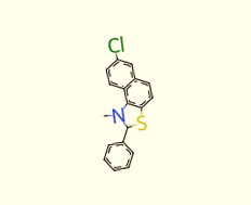 CN1c2c(ccc3cc(Cl)ccc23)SC1c1ccccc1